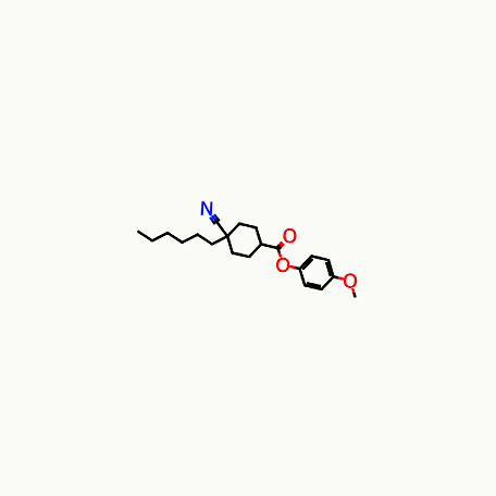 CCCCCCC1(C#N)CCC(C(=O)Oc2ccc(OC)cc2)CC1